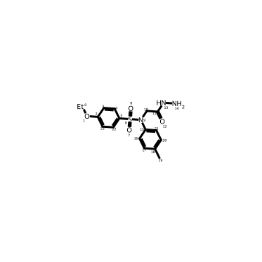 CCOc1ccc(S(=O)(=O)N(CC(=O)NN)c2ccc(C)cc2)cc1